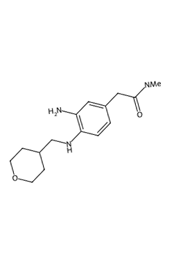 CNC(=O)Cc1ccc(NCC2CCOCC2)c(N)c1